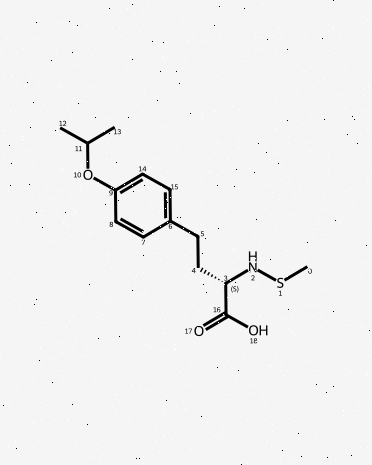 CSN[C@@H](CCc1ccc(OC(C)C)cc1)C(=O)O